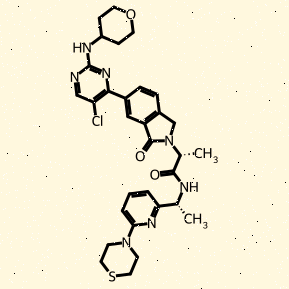 C[C@H](C(=O)N[C@H](C)c1cccc(N2CCSCC2)n1)N1Cc2ccc(-c3nc(NC4CCOCC4)ncc3Cl)cc2C1=O